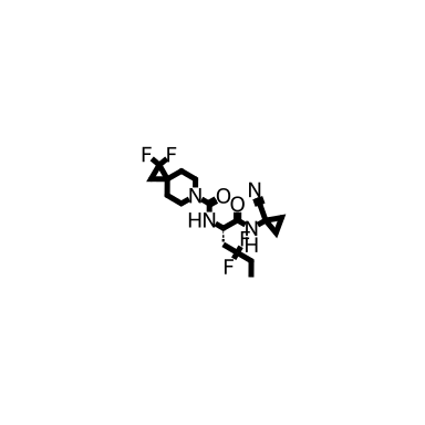 CCC(F)(F)C[C@H](NC(=O)N1CCC2(CC1)CC2(F)F)C(=O)NC1(C#N)CC1